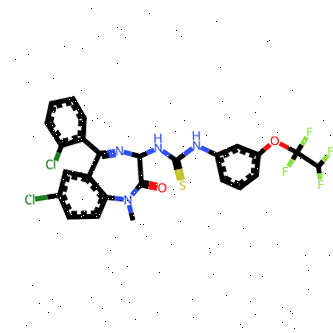 CN1C(=O)C(NC(=S)Nc2cccc(OC(F)(F)C(F)F)c2)N=C(c2ccccc2Cl)c2cc(Cl)ccc21